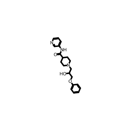 O=C(Nc1cccnc1)C1CCN(CC(O)COc2ccccc2)CC1